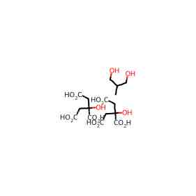 CC(CO)CO.O=C(O)CC(O)(CC(=O)O)C(=O)O.O=C(O)CC(O)(CC(=O)O)C(=O)O